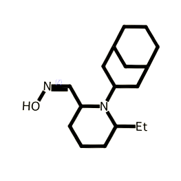 CCC1CCCC(/C=N\O)N1C1CC2CCCC(C2)C1